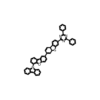 C1=CC2c3ccc(-c4nc(-c5ccccc5)nc(-c5ccccc5)n4)cc3SC2C=C1c1ccc2oc3c(-n4c5ccccc5c5ccccc54)cccc3c2c1